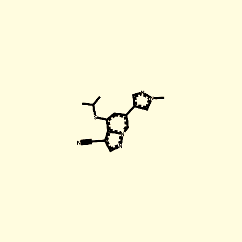 CC(C)Sc1cc(-c2cnn(C)c2)cn2ncc(C#N)c12